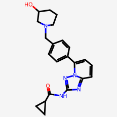 O=C(Nc1nc2cccc(-c3ccc(CN4CCCC(O)C4)cc3)n2n1)C1CC1